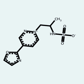 CC(C[n+]1ccc(-c2ncco2)cn1)NS(=O)(=O)[O-]